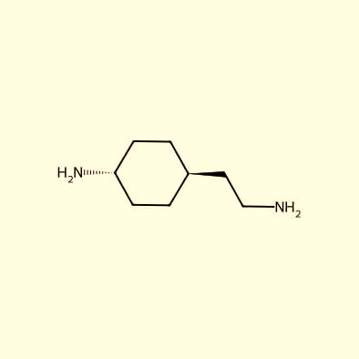 NCC[C@H]1CC[C@H](N)CC1